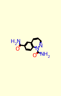 NC(=O)c1ccc2c(c1)C=CC=NN2C(N)=O